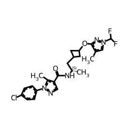 Cc1cn(C(F)F)nc1OC1CC(C[C@H](C)NC(=O)c2cnn(-c3ccc(Cl)cc3)c2C)C1